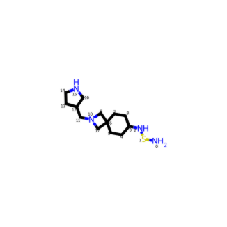 NSNC1CCC2(CC1)CN(CC1CCNC1)C2